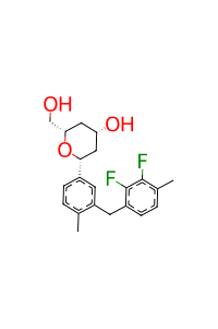 Cc1ccc([C@H]2C[C@@H](O)C[C@@H](CO)O2)cc1Cc1ccc(C)c(F)c1F